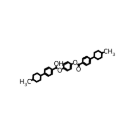 CC1CCC(c2ccc(C(=O)Oc3ccc(OC(O)c4ccc(C5CCC(C)CC5)cc4)cc3)cc2)CC1